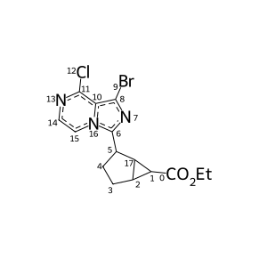 CCOC(=O)C1C2CCC(c3nc(Br)c4c(Cl)nccn34)C21